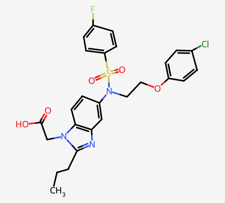 CCCc1nc2cc(N(CCOc3ccc(Cl)cc3)S(=O)(=O)c3ccc(F)cc3)ccc2n1CC(=O)O